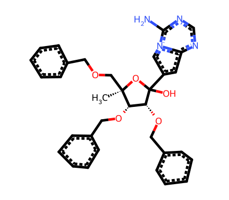 C[C@]1(COCc2ccccc2)OC(O)(c2cc3ncnc(N)n3c2)[C@H](OCc2ccccc2)[C@@H]1OCc1ccccc1